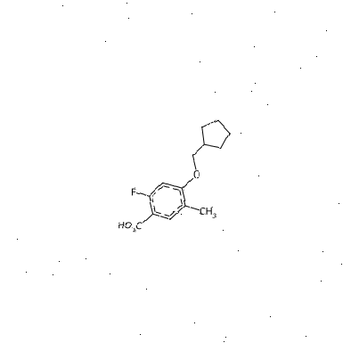 Cc1cc(C(=O)O)c(F)cc1OCC1CCCC1